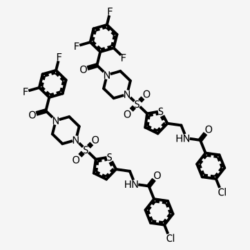 O=C(NCc1ccc(S(=O)(=O)N2CCN(C(=O)c3c(F)cc(F)cc3F)CC2)s1)c1ccc(Cl)cc1.O=C(NCc1ccc(S(=O)(=O)N2CCN(C(=O)c3ccc(F)cc3F)CC2)s1)c1ccc(Cl)cc1